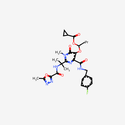 Cc1nnc(C(=O)NC(C)(C)c2nc(C(=O)NCc3ccc(F)cc3)c(OC(OC(=O)C3CC3)C(C)C)c(=O)n2C)o1